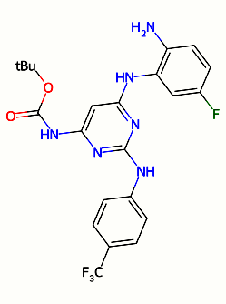 CC(C)(C)OC(=O)Nc1cc(Nc2cc(F)ccc2N)nc(Nc2ccc(C(F)(F)F)cc2)n1